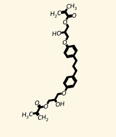 C=C(C)C(=O)OCC(O)COc1ccc(CCCc2ccc(OCC(O)COC(=O)C(=C)C)cc2)cc1